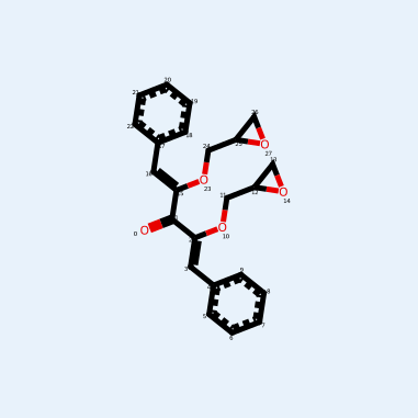 O=C(C(=Cc1ccccc1)OCC1CO1)C(=Cc1ccccc1)OCC1CO1